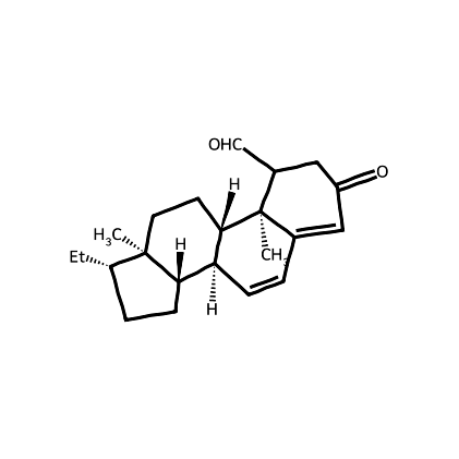 CC[C@H]1CC[C@H]2[C@@H]3C=CC4=CC(=O)CC(C=O)[C@]4(C)[C@H]3CC[C@]12C